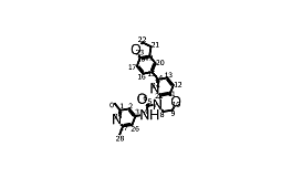 Cc1cc(NC(=O)N2CCOc3ccc(-c4ccc5c(c4)CCO5)nc32)cc(C)n1